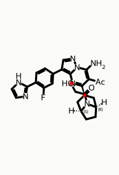 CC(=O)c1c([C@H]2C[C@H]3CC[C@@H](C2)N3C(=O)CO)nc2c(-c3ccc(-c4ncc[nH]4)c(F)c3)cnn2c1N